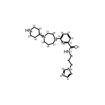 O=C(NCCCn1ccnc1)c1cccc(N2CCCN(C3CCNCC3)CC2)n1